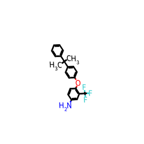 CC(C)(c1ccccc1)c1ccc(Oc2ccc(N)cc2C(F)(F)F)cc1